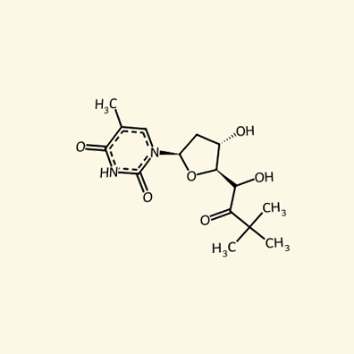 Cc1cn([C@H]2C[C@H](O)[C@@H](C(O)C(=O)C(C)(C)C)O2)c(=O)[nH]c1=O